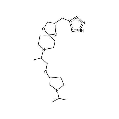 CC(C)N1CCC(OCC(C)N2CCC3(CC2)OCC(Cc2cn[nH]c2)O3)C1